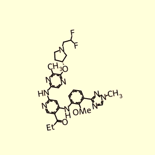 CCC(=O)c1cnc(Nc2cnc(O[C@@H]3CCN(CC(F)F)C3)c(C)n2)cc1Nc1cccc(-c2ncn(C)n2)c1OC